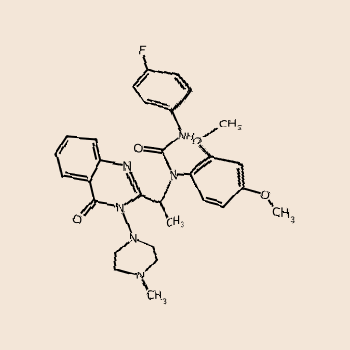 COc1ccc(N(C(=O)Nc2ccc(F)cc2)C(C)c2nc3ccccc3c(=O)n2N2CCN(C)CC2)c(OC)c1